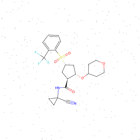 N#CC1(NC(=O)[C@H]2C[C@H](S(=O)(=O)c3ccccc3C(F)(F)F)C[C@@H]2OC2CCOCC2)CC1